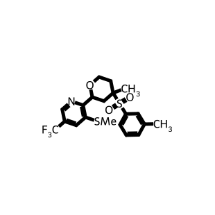 CSc1cc(C(F)(F)F)cnc1C1CC(C)(S(=O)(=O)c2cccc(C)c2)CCO1